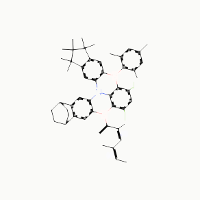 C=C(B1c2cc3c(cc2N2c4cc5c(cc4B(c4c(C)cc(C)cc4C)c4c(F)cc(F)c1c42)C(C)(C)C(C)(C)C5(C)C)C1CCC3CC1)/C(C)=C\C(C)=C/C